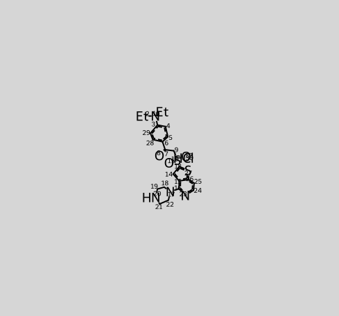 CCN(CC)c1ccc(C(=O)CS(=O)(=O)c2cc3c(N4CCNCC4)nccc3s2)cc1.Cl